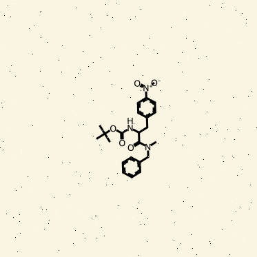 CN(Cc1ccccc1)C(=O)C(Cc1ccc([N+](=O)[O-])cc1)NC(=O)OC(C)(C)C